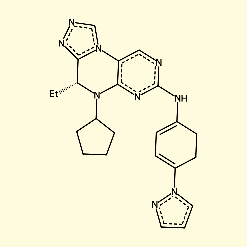 CC[C@@H]1c2nncn2-c2cnc(NC3=CC=C(n4cccn4)CC3)nc2N1C1CCCC1